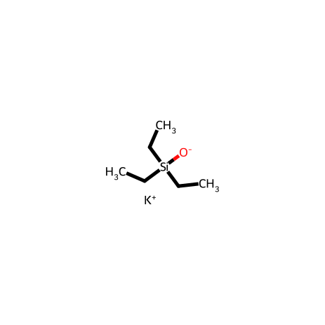 CC[Si]([O-])(CC)CC.[K+]